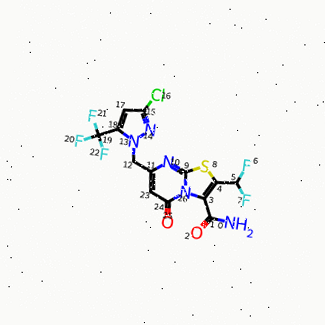 NC(=O)c1c(C(F)F)sc2nc(Cn3nc(Cl)cc3C(F)(F)F)cc(=O)n12